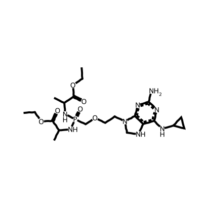 CCOC(=O)C(C)NP(=O)(COCCN1CNc2c(NC3CC3)nc(N)nc21)NC(C)C(=O)OCC